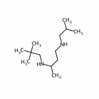 [CH2]C(CCNCC(C)C)NCC(C)(C)C